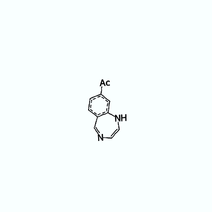 CC(=O)c1ccc2c(c1)NC=CN=C2